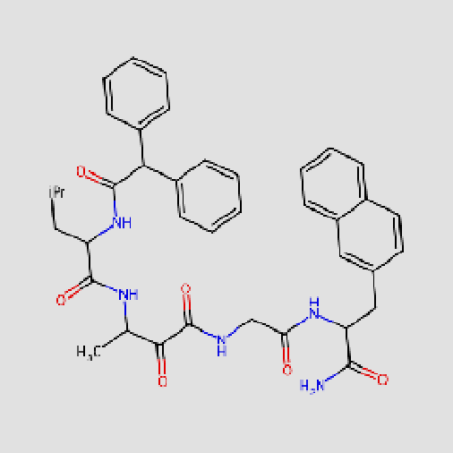 CC(C)CC(NC(=O)C(c1ccccc1)c1ccccc1)C(=O)NC(C)C(=O)C(=O)NCC(=O)NC(Cc1ccc2ccccc2c1)C(N)=O